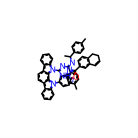 Cc1ccc(C(=N/C(C)c2ccc(C)cc2)/N=C(\N)n2c3ccccc3c3ccc4c5ccccc5n(-c5ccc6oc(-c7ccc8c(c7)C=CCC8)nc6c5)c4c32)cc1